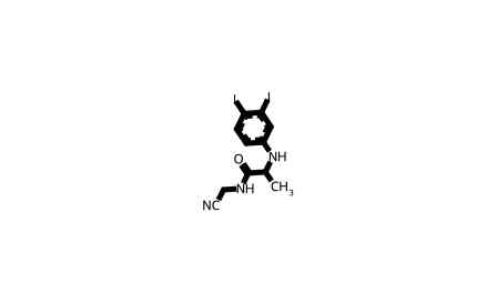 CC(Nc1ccc(I)c(I)c1)C(=O)NCC#N